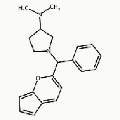 CN(C)C1CCN(C(c2ccccc2)c2ccc3cccc-3o2)C1